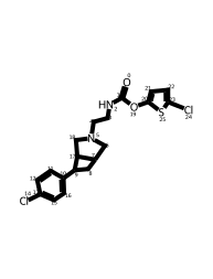 O=C(NCCN1CC2CC(c3ccc(Cl)cc3)C2C1)Oc1ccc(Cl)s1